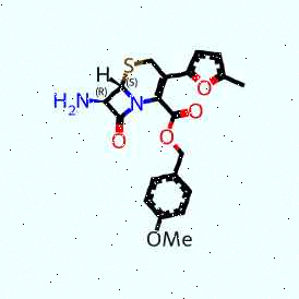 COc1ccc(COC(=O)C2=C(c3ccc(C)o3)CS[C@H]3[C@H](N)C(=O)N23)cc1